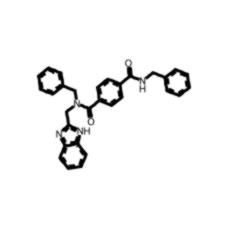 O=C(NCc1ccccc1)c1ccc(C(=O)N(Cc2ccccc2)Cc2nc3ccccc3[nH]2)cc1